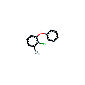 FC(F)(F)c1cccc(Oc2ccccc2)c1Cl